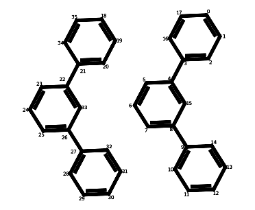 c1ccc(-c2cccc(-c3ccccc3)c2)cc1.c1ccc(-c2cccc(-c3ccccc3)c2)cc1